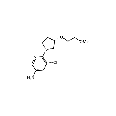 COCCO[C@H]1CCN(c2ncc(N)cc2Cl)C1